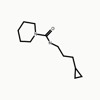 O=C([N]CCCC1CC1)N1CCCCC1